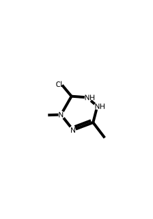 CC1=NN(C)C(Cl)NN1